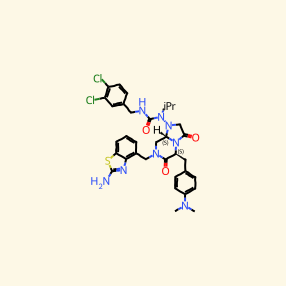 CC(C)N(C(=O)NCc1ccc(Cl)c(Cl)c1)N1CC(=O)N2[C@@H](Cc3ccc(N(C)C)cc3)C(=O)N(Cc3cccc4sc(N)nc34)C[C@@H]21